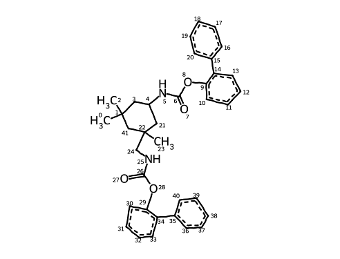 CC1(C)CC(NC(=O)Oc2ccccc2-c2ccccc2)CC(C)(CNC(=O)Oc2ccccc2-c2ccccc2)C1